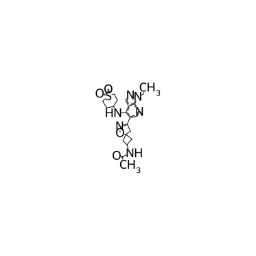 CCn1ncc2c(NC3CCS(=O)(=O)CC3)c(C3=NOC4(C3)CC(NC(C)=O)C4)cnc21